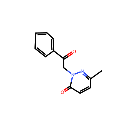 Cc1ccc(=O)n(CC(=O)c2ccccc2)n1